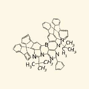 CC(C)(C)c1nc2c3c(cc4c2n1-c1nc(-c2ccccc2)nc2c1B4c1cc4c(c5nc(C(C)(C)C)n-2c15)C1(c2ccccc2-c2ccccc21)c1ccccc1-4)-c1ccccc1C31c2ccccc2-c2ccccc21